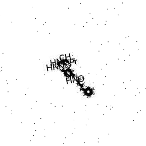 CC(C)CC1(C)NC(=N)N(Cc2ccc(CNC(=O)CCCc3ccccc3)cc2)C1=O